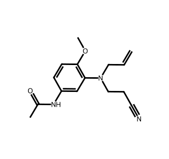 C=CCN(CCC#N)c1cc(NC(C)=O)ccc1OC